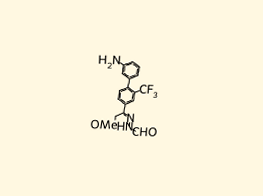 COC/C(=N\NC=O)c1ccc(-c2cccc(N)c2)c(C(F)(F)F)c1